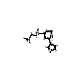 CN(C)CCN(C)c1ccnc(-c2ccsc2)c1